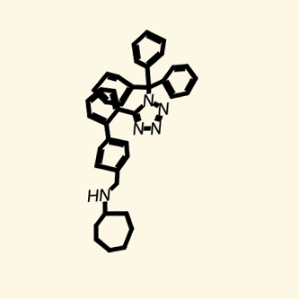 c1ccc(C(c2ccccc2)(c2ccccc2)n2nnnc2-c2ccccc2-c2ccc(CNC3CCCCCC3)cc2)cc1